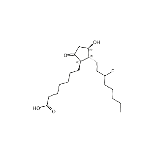 CCCCCC(F)CC[C@H]1[C@H](O)CC(=O)[C@@H]1CCCCCCC(=O)O